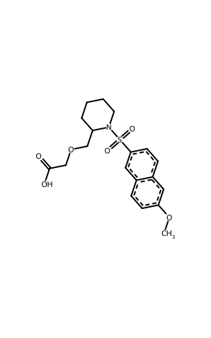 COc1ccc2cc(S(=O)(=O)N3CCCCC3COCC(=O)O)ccc2c1